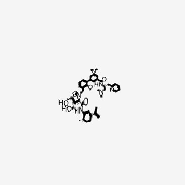 COc1c(CN2O[C@@H](CO)[C@@H]([C@H](C)O)[C@H]2C(=O)N[C@H]2C[C@H](C(C)C)CC[C@@H]2C)cccc1C1C=C(C(=O)N[C@H](Cc2ccccn2)CN(C)C)C=C(N(C)C)C1